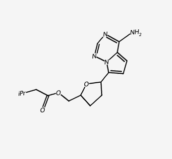 CC(C)CC(=O)OCC1CCC(c2ccc3c(N)ncnn23)O1